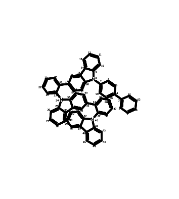 c1ccc(-c2ccc(-n3c4ccccc4c4cc(-c5ccccc5-n5c6ccccc6c6cc(-c7ccccc7-n7c8ccccc8c8ccccc87)ccc65)ccc43)cc2)cc1